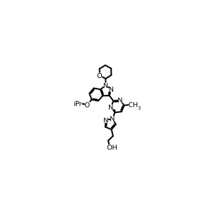 Cc1cc(-n2cc(CCO)cn2)nc(-c2nn(C3CCCCO3)c3ccc(OC(C)C)cc23)n1